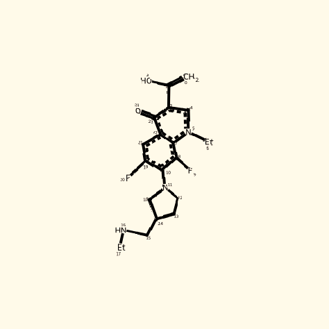 C=C(O)c1cn(CC)c2c(F)c(N3CCC(CNCC)C3)c(F)cc2c1=O